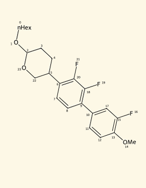 CCCCCCOC1CCC(c2ccc(-c3ccc(OC)c(F)c3)c(F)c2F)CO1